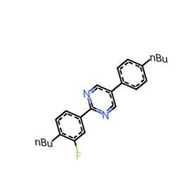 CCCCc1ccc(-c2cnc(-c3ccc(CCCC)c(F)c3)nc2)cc1